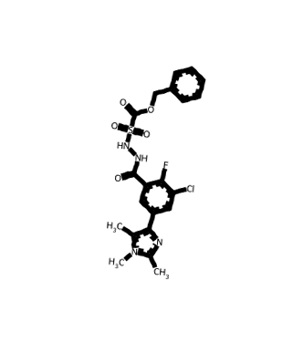 Cc1nc(-c2cc(Cl)c(F)c(C(=O)NNS(=O)(=O)C(=O)OCc3ccccc3)c2)c(C)n1C